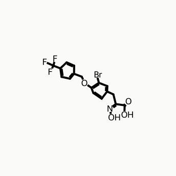 O=C(O)C(Cc1ccc(OCc2ccc(C(F)(F)F)cc2)c(Br)c1)=NO